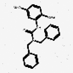 COc1ccc(OC)c(NC(=O)N(Cc2ccccc2)Cc2ccccc2)c1